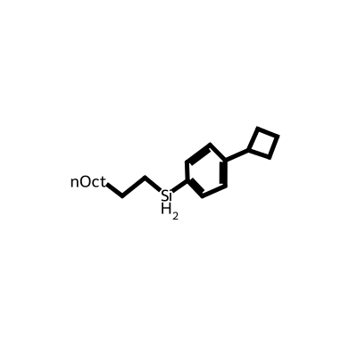 CCCCCCCCCC[SiH2]c1ccc(C2CCC2)cc1